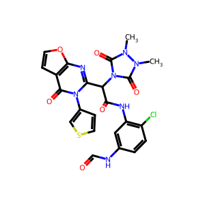 Cn1c(=O)n(C(C(=O)Nc2cc(NC=O)ccc2Cl)c2nc3occc3c(=O)n2-c2ccsc2)c(=O)n1C